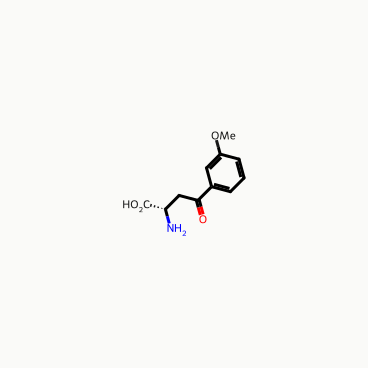 COc1cccc(C(=O)C[C@H](N)C(=O)O)c1